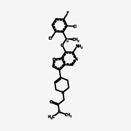 C[C@@H](Oc1c(N)ncc2c(C3=CCN(CC(=O)N(C)C)CC3)coc12)c1c(Cl)ccc(F)c1Cl